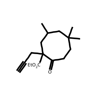 C#CCC1(C(=O)OCC)CC(C)CC(C)(C)CCC1=O